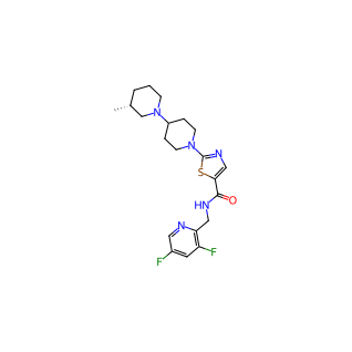 C[C@@H]1CCCN(C2CCN(c3ncc(C(=O)NCc4ncc(F)cc4F)s3)CC2)C1